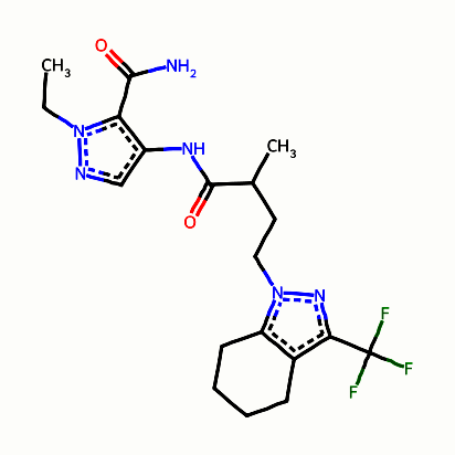 CCn1ncc(NC(=O)C(C)CCn2nc(C(F)(F)F)c3c2CCCC3)c1C(N)=O